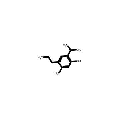 CCCc1cc(C(C)C)c(O)cc1C